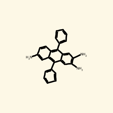 Nc1ccc2c(-c3ccccc3)c3cc(N)c(N)cc3c(-c3ccccc3)c2c1